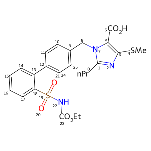 CCCc1nc(SC)c(C(=O)O)n1Cc1ccc(-c2ccccc2S(=O)(=O)NC(=O)OCC)cc1